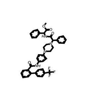 COC(=O)C(NC(=O)C(c1ccccc1)N1CCN(c2ccc(NC(=O)c3ccccc3-c3ccc(C(F)(F)F)cc3)cc2)CC1)c1ccccc1